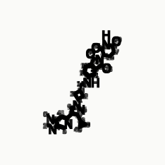 Cn1cnc2cnc(-c3cn([C@H]4C[C@H](CNc5ccc6c(c5)C(=O)N(C5CCC(=O)NC5=O)C6=O)C4)nc3C3CC3)cc21